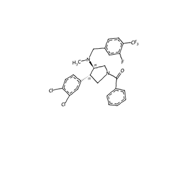 CN(Cc1ccc(C(F)(F)F)c(F)c1)[C@H]1CN(C(=O)c2ccccc2)C[C@@H]1c1ccc(Cl)c(Cl)c1